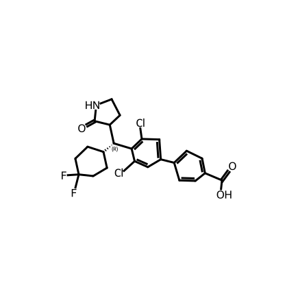 O=C(O)c1ccc(-c2cc(Cl)c([C@H](C3CCC(F)(F)CC3)C3CCNC3=O)c(Cl)c2)cc1